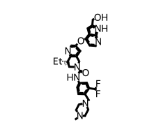 CC[C@H]1CN(C(=O)Nc2ccc(CN3CCN(C)CC3)c(C(F)F)c2)Cc2cc(Oc3ccnc4[nH]c(CO)cc34)cnc21